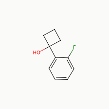 OC1(c2ccccc2F)CCC1